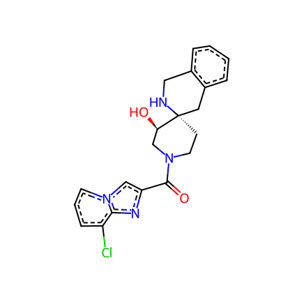 O=C(c1cn2cccc(Cl)c2n1)N1CC[C@]2(Cc3ccccc3CN2)[C@H](O)C1